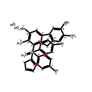 Cl.Cl.[CH2]=[Zr]([C]1=CC=CC1)([c]1ccc(C(C)C)cc1)([c]1ccc(C(C)C)cc1)[c]1c(C)c(C(C)(C)C)cc2c1Cc1cc(C)c(C(C)(C)C)cc1-2